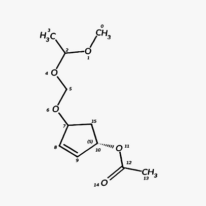 COC(C)OCOC1C=C[C@@H](OC(C)=O)C1